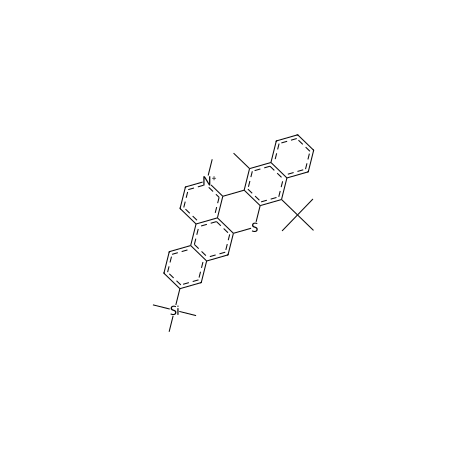 Cc1c2c(c(C(C)(C)C)c3ccccc13)Sc1cc3cc([Si](C)(C)C)ccc3c3cc[n+](C)c-2c13